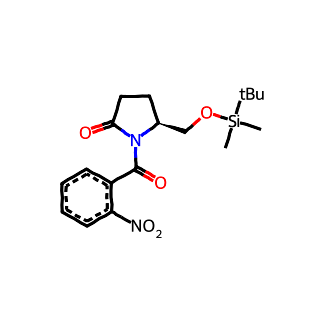 CC(C)(C)[Si](C)(C)OC[C@@H]1CCC(=O)N1C(=O)c1ccccc1[N+](=O)[O-]